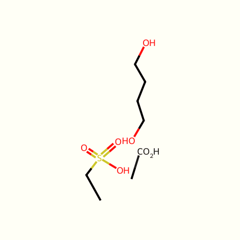 CC(=O)O.CCS(=O)(=O)O.OCCCCO